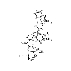 COc1cc(C(=O)N2CCC(CCN3CCC(C(N)=O)(c4ccccc4)CC3)(c3ccc(C)c(C)c3)C2)cc(OC)c1OC